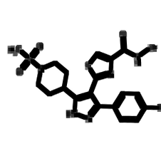 CC(C)NC(=O)c1csc(-c2c(-c3ccc(F)cc3)n[nH]c2C2CCN(S(C)(=O)=O)CC2)n1